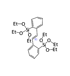 CCO[Si](OCC)(OCC)c1ccccc1/C=C/c1ccccc1[Si](OCC)(OCC)OCC